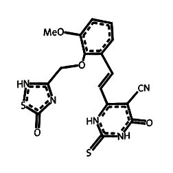 COc1cccc(C=Cc2[nH]c(=S)[nH]c(=O)c2C#N)c1OCc1nc(=O)s[nH]1